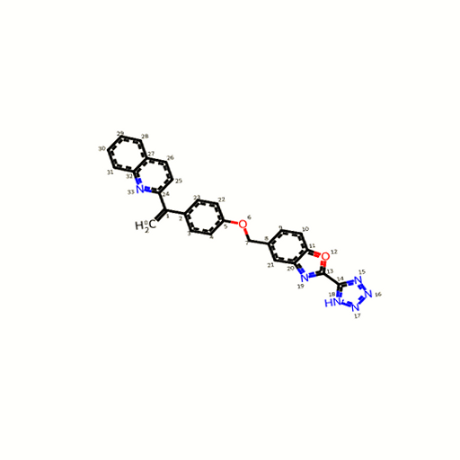 C=C(c1ccc(OCc2ccc3oc(-c4nnn[nH]4)nc3c2)cc1)c1ccc2ccccc2n1